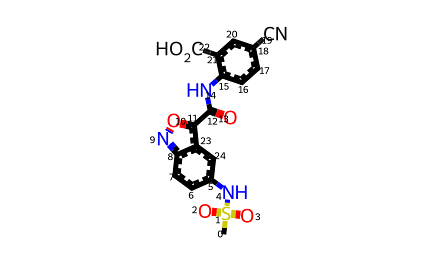 CS(=O)(=O)Nc1ccc2noc(C(=O)Nc3ccc(C#N)cc3C(=O)O)c2c1